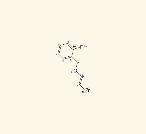 CC(C)C=NOCc1ccccc1F